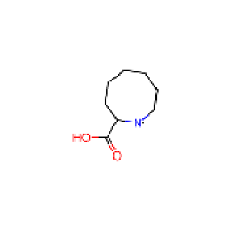 O=C(O)C1CCCCCC[N]1